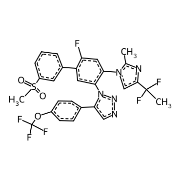 Cc1nc(C(C)(F)F)cn1-c1cc(F)c(-c2cccc(S(C)(=O)=O)c2)cc1-n1nncc1-c1ccc(OC(F)(F)F)cc1